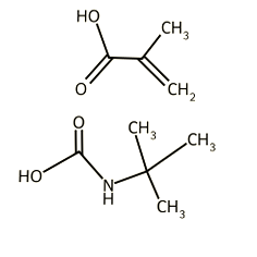 C=C(C)C(=O)O.CC(C)(C)NC(=O)O